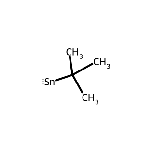 C[C](C)(C)[Sn]